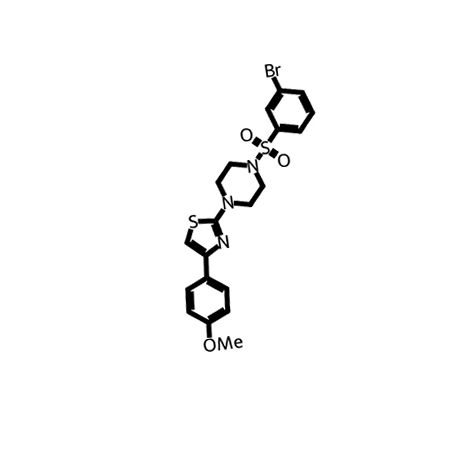 COc1ccc(-c2csc(N3CCN(S(=O)(=O)c4cccc(Br)c4)CC3)n2)cc1